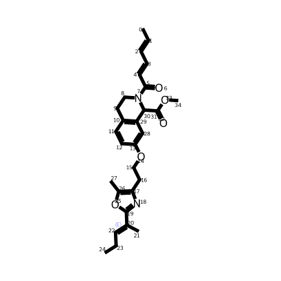 CC=CC=CC(=O)N1CCc2ccc(OCCc3nc(/C(C)=C/CC)oc3C)cc2C1C(=O)OC